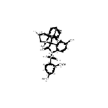 CNC(=O)[C@@H]1C[C@@H](F)C[N+]1(C)C1(c2ccccc2OC)C(=O)N(S(=O)(=O)c2ccc(OC)cc2OC)c2ccc(Cl)cc21